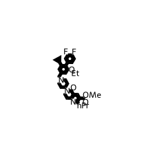 CCCc1nc2c(cc1C(=O)OC)C(=O)N(C1CCN(Cc3cc(OCC)c(-c4ccc(F)c(F)c4)c(C4CC4)c3)CC1)CC2